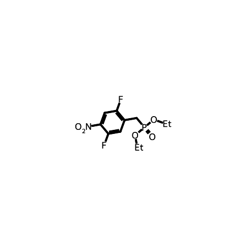 CCOP(=O)(Cc1cc(F)c([N+](=O)[O-])cc1F)OCC